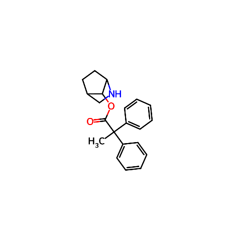 CC(C(=O)OC1C2CCC1NC2)(c1ccccc1)c1ccccc1